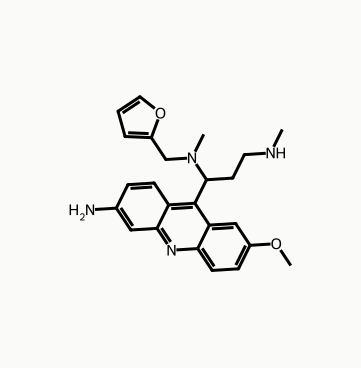 CNCCC(c1c2ccc(N)cc2nc2ccc(OC)cc12)N(C)Cc1ccco1